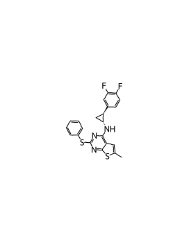 Cc1cc2c(N[C@@H]3C[C@H]3c3ccc(F)c(F)c3)nc(Sc3ccccc3)nc2s1